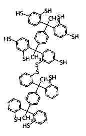 CC(c1ccc(C(C)(c2ccccc2S)c2ccccc2SSc2cc(S)ccc2C(C)(c2ccc(C(C)(c3ccc(S)cc3S)c3ccc(S)cc3S)cc2)c2ccc(S)cc2S)cc1)(c1ccccc1S)c1ccccc1S